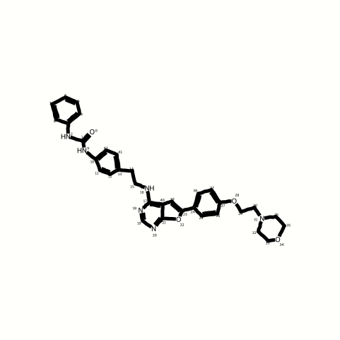 O=C(Nc1ccccc1)Nc1ccc(CCNc2ncnc3oc(-c4ccc(OCCN5CCOCC5)cc4)cc23)cc1